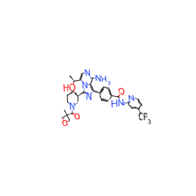 C[C@H](O)c1cnc(N)c2c(-c3ccc(C(=O)Nc4cc(C(F)(F)F)ccn4)cc3)nc([C@@H]3CCCN(C(=O)C4(C)COC4)C3)n12